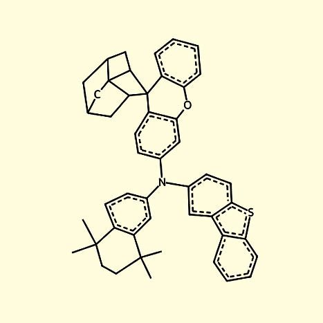 CC1(C)CCC(C)(C)c2cc(N(c3ccc4c(c3)Oc3ccccc3C43C4CC5CC6CC3C64C5)c3ccc4sc5ccccc5c4c3)ccc21